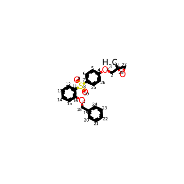 CC1(COc2ccc(S(=O)(=O)c3ccccc3OCc3ccccc3)cc2)CO1